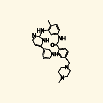 Cc1ccc(NC(=O)c2ccc(CN3CCN(C)CC3)cc2)cc1NC1N=CC=C(C2=CC=CNC2)N1